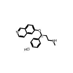 CNCC[C@H](Oc1ccc2cnccc2c1)c1ccccc1.Cl